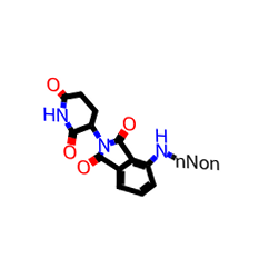 CCCCCCCCCNc1cccc2c1C(=O)N(C1CCC(=O)NC1=O)C2=O